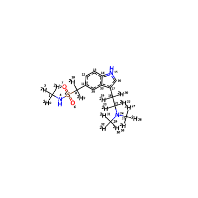 [2H]C([2H])([2H])NS(=O)(=O)C([2H])([2H])c1ccc2[nH]cc(C([2H])([2H])C([2H])([2H])N(C([2H])([2H])[2H])C([2H])([2H])[2H])c2c1